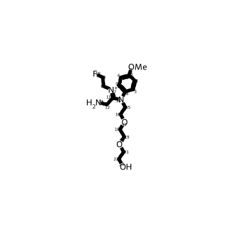 COc1ccc2c(c1)[n+](CCF)c(CN)n2CCOCCOCCO